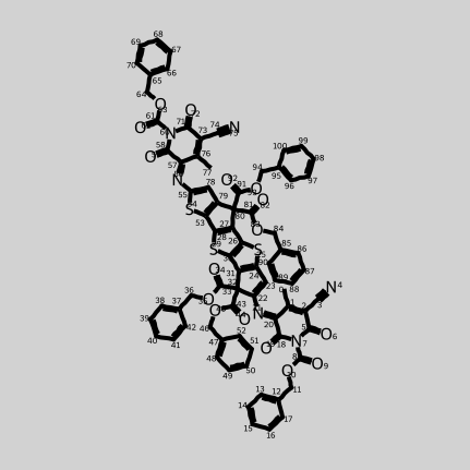 CC1=C(C#N)C(=O)N(C(=O)OCc2ccccc2)C(=O)/C1=N/C1=Cc2sc3c4c(sc3c2C1(C(=O)OCc1ccccc1)C(=O)OCc1ccccc1)-c1sc(/N=C2/C(=O)N(C(=O)OCc3ccccc3)C(=O)C(C#N)=C2C)cc1C4(C(=O)OCc1ccccc1)C(=O)OCc1ccccc1